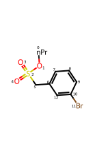 CCCOS(=O)(=O)Cc1cccc(Br)c1